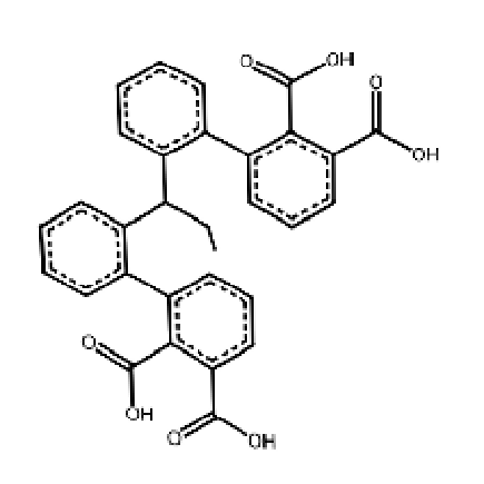 CCC(c1ccccc1-c1cccc(C(=O)O)c1C(=O)O)c1ccccc1-c1cccc(C(=O)O)c1C(=O)O